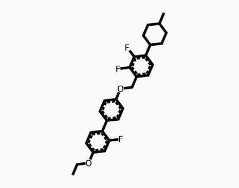 CCOc1ccc(-c2ccc(OCc3ccc(C4CCC(C)CC4)c(F)c3F)cc2)c(F)c1